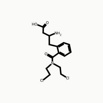 NC(CC(=O)O)Cc1ccccc1C(=O)N(CCCl)CCCl